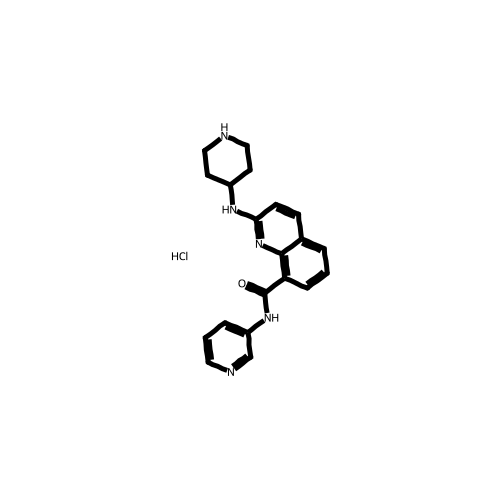 Cl.O=C(Nc1cccnc1)c1cccc2ccc(NC3CCNCC3)nc12